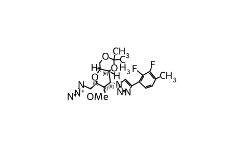 CO[C@@H]1[C@@H](n2cc(-c3ccc(C)c(F)c3F)nn2)[C@H]2OC(C)(C)OC[C@H]2O[C@@H]1CN=[N+]=[N-]